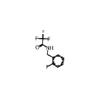 O=C(NCc1ccccc1I)C(F)(F)F